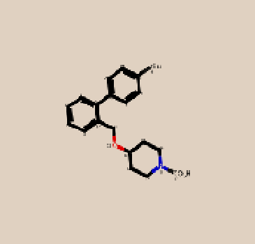 CC(C)(C)c1ccc(-c2ccccc2COC2CCN(C(=O)O)CC2)cc1